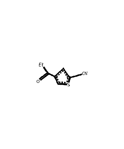 CCC(=O)c1csc(C#N)c1